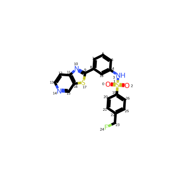 O=S(=O)(Nc1cccc(-c2nc3ccncc3s2)c1)c1ccc(CF)cc1